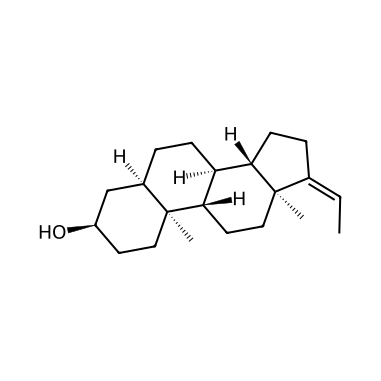 C/C=C1/CC[C@H]2[C@@H]3CC[C@@H]4C[C@H](O)CC[C@]4(C)[C@H]3CC[C@]12C